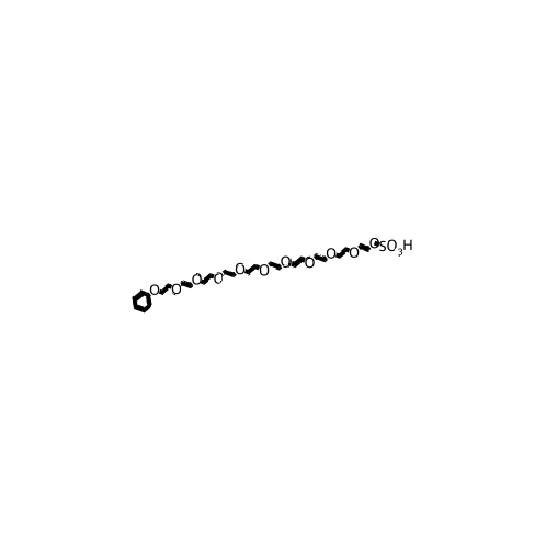 O=S(=O)(O)OCCOCCOCCOCCOCCOCCOCCOCCOCCOCCOc1ccccc1